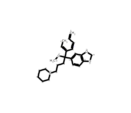 C=C/C=C\C(=C/C)C(CCCN1CCCCC1)(OC)c1ccc2c(c1)OCO2